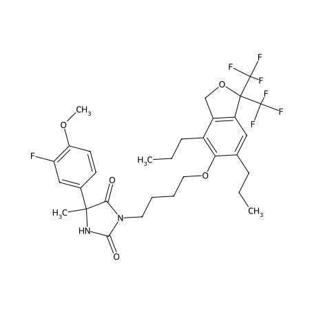 CCCc1cc2c(c(CCC)c1OCCCCN1C(=O)NC(C)(c3ccc(OC)c(F)c3)C1=O)COC2(C(F)(F)F)C(F)(F)F